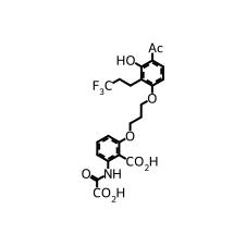 CC(=O)c1ccc(OCCCOc2cccc(NC(=O)C(=O)O)c2C(=O)O)c(CCC(F)(F)F)c1O